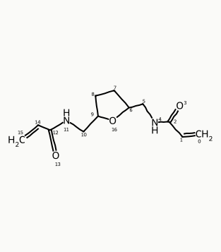 C=CC(=O)NCC1CCC(CNC(=O)C=C)O1